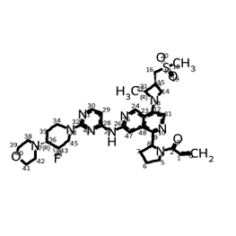 C=CC(=O)N1CCCC1c1ncc(N2C[C@H](CS(C)(=O)=O)[C@H]2C)c2cnc(Nc3ccnc(N4CC[C@@H](N5CCOCC5)[C@@H](F)C4)n3)cc12